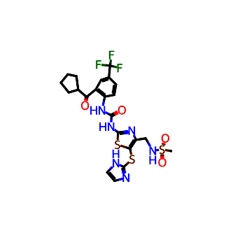 CS(=O)(=O)NCc1nc(NC(=O)Nc2ccc(C(F)(F)F)cc2C(=O)C2CCCC2)sc1Sc1ncc[nH]1